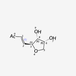 CC(=O)/C=C/[C@@H]1OC[C@@H](O)[C@H]1O